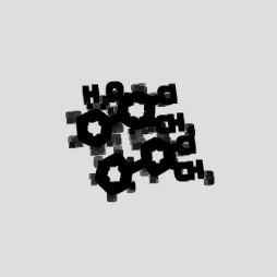 Cc1cc(-c2ccccc2)ccc1Cl.Cc1cc(-c2ccccc2)ccc1Cl.O